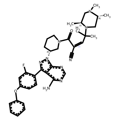 C[C@@H]1CN(C(C)(C)/C=C(/C#N)C(=O)N2CCC[C@@H](n3nc(-c4ccc(Oc5ccccc5)cc4F)c4c(N)ncnc43)C2)[C@@H](C)CN1C